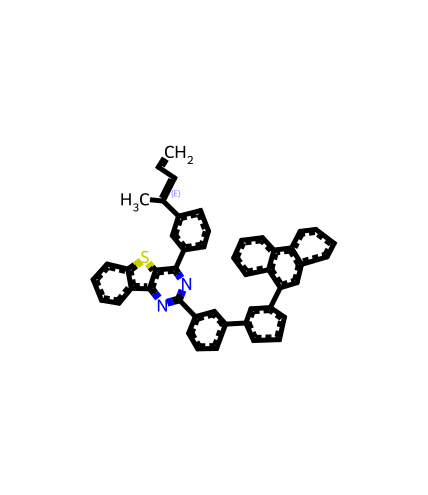 C=C/C=C(\C)c1cccc(-c2nc(-c3cccc(-c4cccc(-c5cc6ccccc6c6ccccc56)c4)c3)nc3c2sc2ccccc23)c1